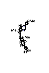 COc1ccc(/C2=C/NC(=O)c3cc(OC)c(OCCCOc4cc5c(cc4OC)C(=O)N4C=C(c6ccc(NC(C)C)cc6)C[C@H]4C=N5)cc3/N=C\CC2)cc1